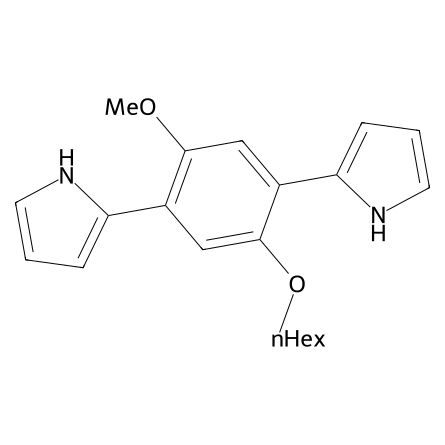 CCCCCCOc1cc(-c2ccc[nH]2)c(OC)cc1-c1ccc[nH]1